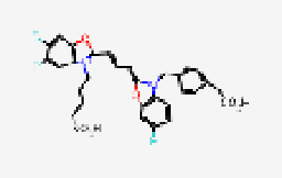 O=C(O)Cc1ccc(CN2C(=CC=Cc3oc4cc(F)c(F)cc4[n+]3CCCCS(=O)(=O)O)Oc3cc(F)ccc32)cc1